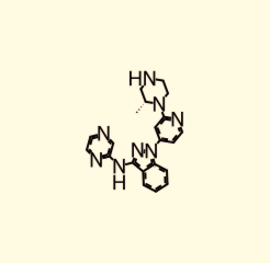 C[C@@H]1CNCCN1c1cc(-n2nc(Nc3cnccn3)c3ccccc32)ccn1